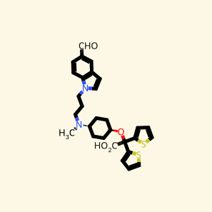 CN(CCCn1ccc2cc(C=O)ccc21)[C@H]1CC[C@H](OC(C(=O)O)(c2cccs2)c2cccs2)CC1